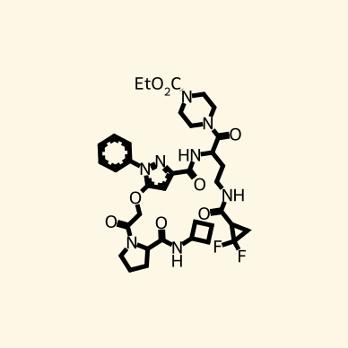 CCOC(=O)N1CCN(C(=O)C(CCNC(=O)C2CC2(F)F)NC(=O)c2cc(OCC(=O)N3CCCC3C(=O)NC3CCC3)n(-c3ccccc3)n2)CC1